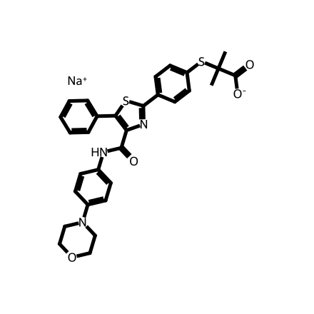 CC(C)(Sc1ccc(-c2nc(C(=O)Nc3ccc(N4CCOCC4)cc3)c(-c3ccccc3)s2)cc1)C(=O)[O-].[Na+]